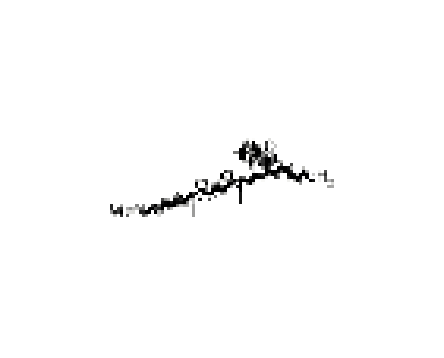 C=C/C=C\C=C/CC(CCCCNC(=O)CCCC(=O)NCCOCCOCCNC)C(=O)NC(=O)NC=O